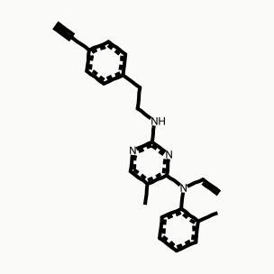 C#Cc1ccc(CCNc2ncc(C)c(N(C=C)c3ccccc3C)n2)cc1